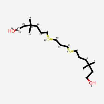 CC(C)(CCO)CCCSCCCSCCCC(C)(C)CCO